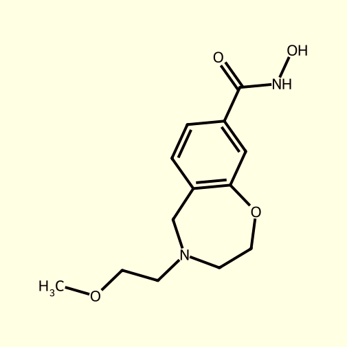 COCCN1CCOc2cc(C(=O)NO)ccc2C1